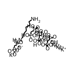 NCCCCCCN.O=P(O)(O)CP(=O)(O)O.O=P(O)(O)CP(=O)(O)O.O=P([O-])([O-])CP(=O)(O)O.O=P([O-])([O-])CP(=O)([O-])[O-].[K+].[K+].[K+].[K+].[K+].[K+]